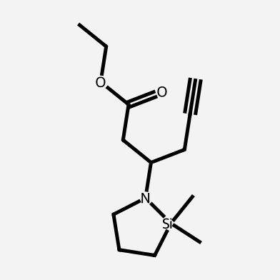 C#CCC(CC(=O)OCC)N1CCC[Si]1(C)C